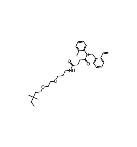 C=Cc1ccccc1CN(C(=O)CCC(=O)NCCCOCCOCCC(C)(C)CC)c1ccccc1C